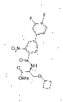 COC(=O)[C@@H](NC(=O)c1ccc(-c2ccc(F)c(F)c2)cc1[N+](=O)[O-])[C@@H](C)OC1CCC1